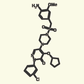 COc1cc(CS(=O)(=O)N2CCN(c3cnn(-c4cccc(Cl)c4)c(=O)c3OC3CCCC3)CC2)ccc1N